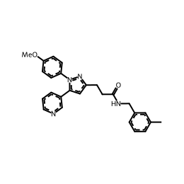 COc1ccc(-n2nc(CCC(=O)NCc3cccc(C)c3)cc2-c2cccnc2)cc1